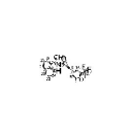 CC(NC(=O)C#Cc1cccc(C(F)(F)F)c1)c1cccc2ccccc12